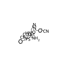 CCOC(=O)CN(Cc1ccccc1C(F)(F)F)C(=S)CC(C)(CN)NC(=O)Cc1cncn1Cc1ccc(C#N)cc1